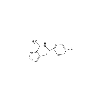 CC(NCc1ccc(Cl)cn1)c1ncccc1F